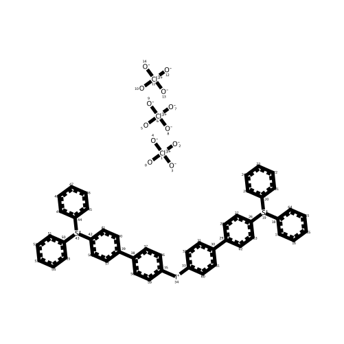 [O-][Cl+3]([O-])([O-])[O-].[O-][Cl+3]([O-])([O-])[O-].[O-][Cl+3]([O-])([O-])[O-].c1ccc([S+](c2ccccc2)c2ccc(-c3ccc([I+]c4ccc(-c5ccc([S+](c6ccccc6)c6ccccc6)cc5)cc4)cc3)cc2)cc1